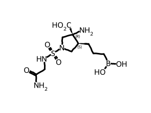 NC(=O)CNS(=O)(=O)N1C[C@H](CCCB(O)O)[C@](N)(C(=O)O)C1